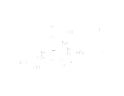 CC(C)C(=O)N[C@H](CC(=O)NCC(C)(C)C)C(=O)N[C@H](C)C(=O)NCc1ccc(F)cc1F